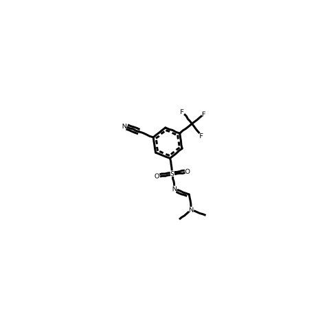 CN(C)C=NS(=O)(=O)c1cc(C#N)cc(C(F)(F)F)c1